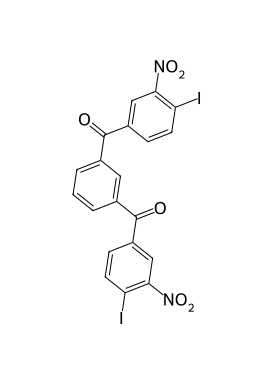 O=C(c1cccc(C(=O)c2ccc(I)c([N+](=O)[O-])c2)c1)c1ccc(I)c([N+](=O)[O-])c1